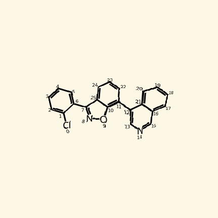 Clc1ccccc1-c1noc2c(-c3cncc4ccccc34)cccc12